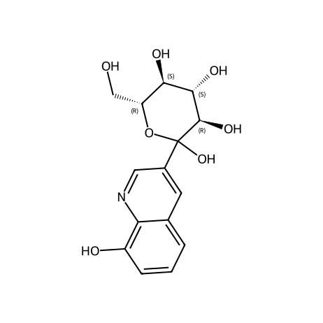 OC[C@H]1OC(O)(c2cnc3c(O)cccc3c2)[C@H](O)[C@@H](O)[C@@H]1O